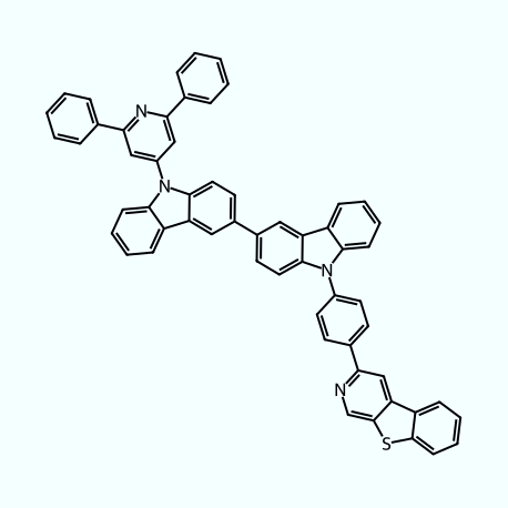 c1ccc(-c2cc(-n3c4ccccc4c4cc(-c5ccc6c(c5)c5ccccc5n6-c5ccc(-c6cc7c(cn6)sc6ccccc67)cc5)ccc43)cc(-c3ccccc3)n2)cc1